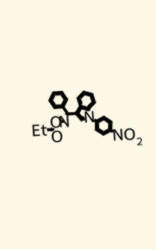 CCC(=O)O/N=C(\c1ccccc1)c1cn(-c2ccc([N+](=O)[O-])cc2)c2ccccc12